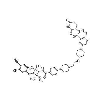 CC1(C)[C@H](NC(=O)c2ccc(N3CCN(CCOC4CCN(c5ccc6nnn(C7CCC(=O)NC7=O)c(=O)c6c5)CC4)CC3)cc2)C(C)(C)[C@H]1Oc1ccc(C#N)c(Cl)c1